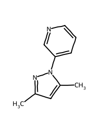 Cc1cc(C)n(-c2cccnc2)n1